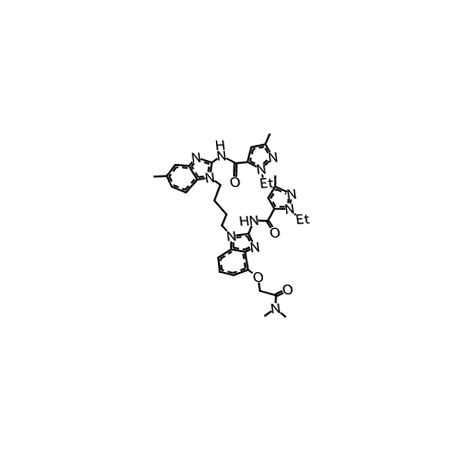 CCn1nc(C)cc1C(=O)Nc1nc2cc(C)ccc2n1CCCCn1c(NC(=O)c2cc(C)nn2CC)nc2c(OCC(=O)N(C)C)cccc21